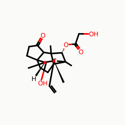 C=C[C@@]1(C)CC2(C)C3CCC4(CCC(=O)C4C3(C)[C@@H]2OC(=O)CO)[C@@H](C)C1O